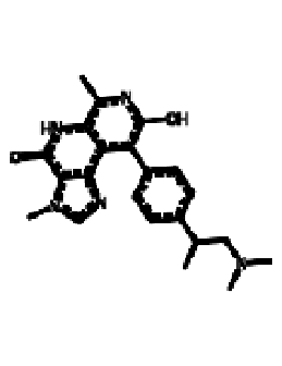 Cc1nc(O)c(-c2ccc(C(C)CN(C)C)cc2)c2c1[nH]c(=O)c1c2ncn1C